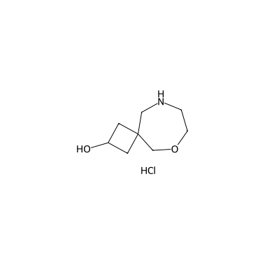 Cl.OC1CC2(CNCCOC2)C1